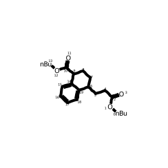 CCCCOC(=O)CCC1CCC(C(=O)OCCCC)c2ccccc21